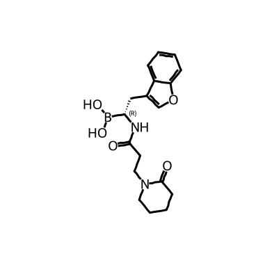 O=C(CCN1CCCCC1=O)N[C@@H](Cc1coc2ccccc12)B(O)O